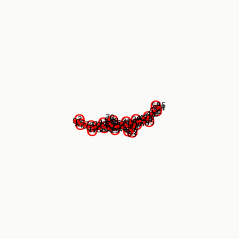 C=CC(=O)OCCCCOC(=O)C1CCC(C(=O)Oc2ccc(OC(=O)C3CCC(C(=O)Oc4ccc(OC(=O)C5CCC(C(=O)OCCCCOC(=O)C=C)CC5)cc4C(=O)OC)CC3)c(C(=O)C=C)c2)CC1